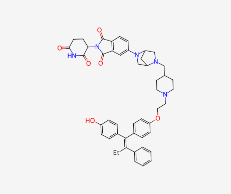 CC/C(=C(\c1ccc(O)cc1)c1ccc(OCCN2CCC(CN3CC4CC3CN4c3ccc4c(c3)C(=O)N(C3CCC(=O)NC3=O)C4=O)CC2)cc1)c1ccccc1